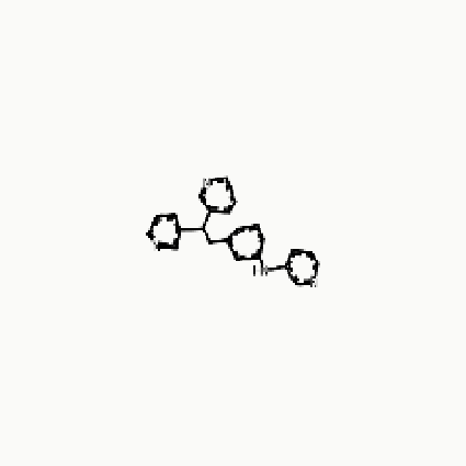 c1cncc(Nc2cccc(CC(c3cccnc3)c3cccnc3)c2)c1